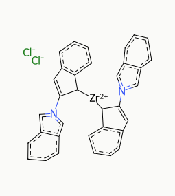 C1=C(n2cc3ccccc3c2)[CH]([Zr+2][CH]2C(n3cc4ccccc4c3)=Cc3ccccc32)c2ccccc21.[Cl-].[Cl-]